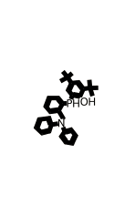 CC(C)(C)c1cc(Pc2ccccc2CN(c2ccccc2)c2ccccc2)c(O)c(C(C)(C)C)c1